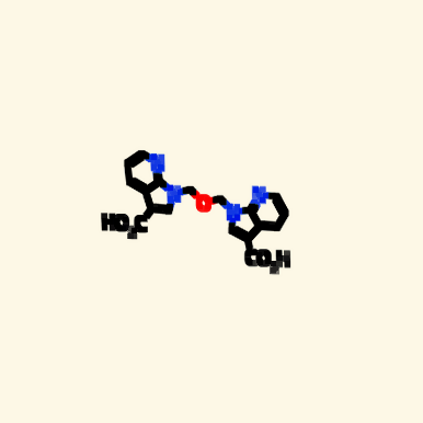 O=C(O)c1cn(COCn2cc(C(=O)O)c3cccnc32)c2ncccc12